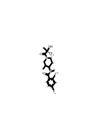 CC1CN(C(=O)[C@@](C)(O)C(F)(F)F)CCC1N(C)C(=O)c1ccc(F)cc1F